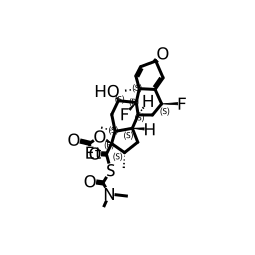 CCC(=O)O[C@]1(C(=O)SC(=O)N(C)C)[C@@H](C)C[C@H]2[C@@H]3C[C@H](F)C4=CC(=O)C=C[C@]4(C)[C@@]3(F)[C@@H](O)C[C@@]21C